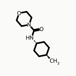 C[C@H]1CC[C@H](NC(=O)N2CCOCC2)CC1